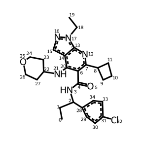 CCC(NC(=O)c1c(C2CCC2)nc2c(cnn2CC)c1NC1CCOCC1)c1ccc(Cl)cc1